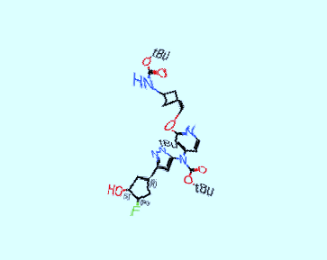 CC(C)(C)OC(=O)NC1CC(COc2cc(N(C(=O)OC(C)(C)C)c3cc([C@H]4C[C@@H](F)[C@@H](O)C4)nn3C(C)(C)C)ccn2)C1